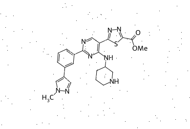 COC(=O)c1nnc(-c2cnc(-c3cccc(-c4cnn(C)c4)c3)nc2NC2CCCNC2)s1